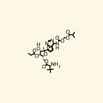 CCC(=O)O[C@H]1[C@@H](O)[C@](C)(c2ccc3c(NC(=O)OCOC(=O)C(C)C)ncnn23)O[C@@H]1COC(=O)[C@@H](N)C(C)(C)C